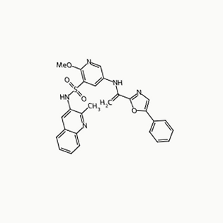 C=C(Nc1cnc(OC)c(S(=O)(=O)Nc2cc3ccccc3nc2C)c1)c1ncc(-c2ccccc2)o1